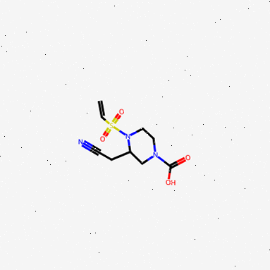 C=CS(=O)(=O)N1CCN(C(=O)O)CC1CC#N